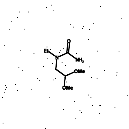 CCN(CC(OC)OC)C(N)=O